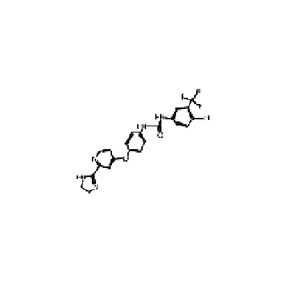 O=C(Nc1ccc(Oc2ccnc(C3=NCCN3)c2)cc1)Nc1ccc(Cl)c(C(F)(F)F)c1